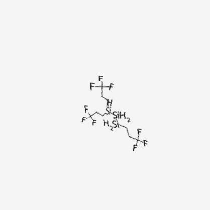 FC(F)(F)CC[SiH2][SiH2][SiH](CCC(F)(F)F)CCC(F)(F)F